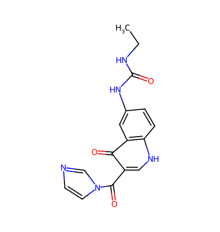 CCNC(=O)Nc1ccc2[nH]cc(C(=O)n3ccnc3)c(=O)c2c1